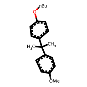 CCCCOc1ccc(C(C)(C)c2ccc(OC)cc2)cc1